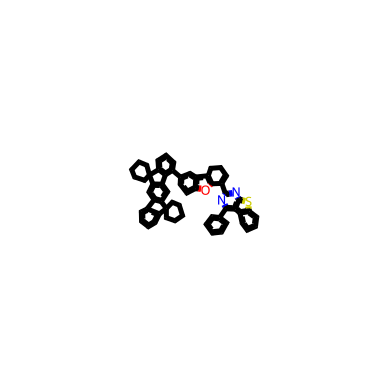 C1=C(c2nc(-c3ccccc3)c3c(n2)sc2ccccc23)c2oc3ccc(-c4cccc5c4-c4cc6c(cc4C54CCCCC4)-c4ccccc4C64CCCCC4)cc3c2CC1